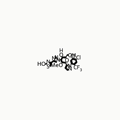 CO[C@@H]1[C@@H](n2cc(-c3csc(O)n3)nn2)[C@@H](O)[C@@H](CO)O[C@H]1c1ccnn1-c1cc(Cl)c(Cl)cc1C(F)(F)F